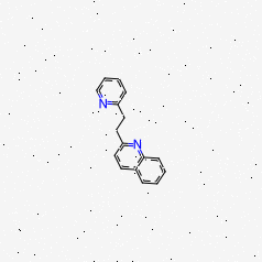 c1ccc(CCc2ccc3ccccc3n2)nc1